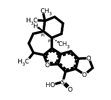 CC1CC[C@@H]2C(C)(C)CCC[C@@]2(C)c2c1oc1c(S(=O)O)c3c(cc21)OCO3